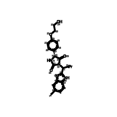 CC(C)C(c1nc2cc(I)ccc2[nH]1)N1C(=O)N[C@H](c2ccc(OCCO)cc2)C1=O